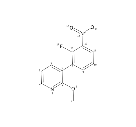 COc1ncccc1-c1cccc([N+](=O)[O-])c1F